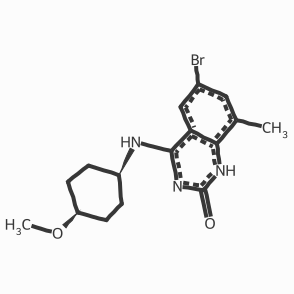 CO[C@H]1CC[C@@H](Nc2nc(=O)[nH]c3c(C)cc(Br)cc23)CC1